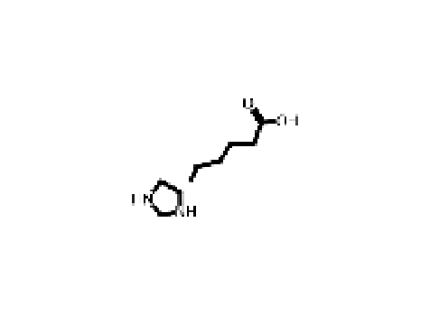 C1CNCN1.CCCCCC(=O)O